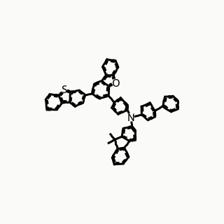 CC1(C)c2ccccc2-c2ccc(N(c3ccc(-c4ccccc4)cc3)c3ccc(-c4cc(-c5ccc6c(c5)sc5ccccc56)cc5c4oc4ccccc45)cc3)cc21